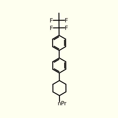 CCCC1CCC(c2ccc(-c3ccc(C(F)(F)C(C)(F)F)cc3)cc2)CC1